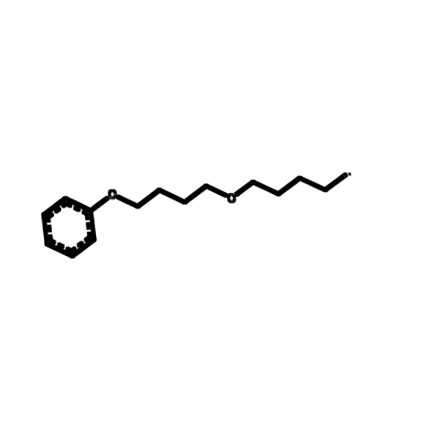 [CH2]CCCCOCCCCOc1ccccc1